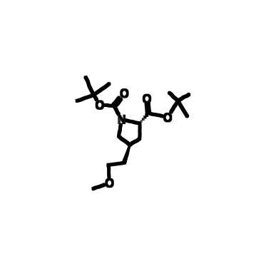 COCC[C@@H]1C[C@@H](C(=O)OC(C)(C)C)N(C(=O)OC(C)(C)C)C1